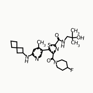 Cc1cc(NC2CC3(CCC3)C2)ncc1-c1sc(C(=O)NCC(C)(C)O)nc1C(=O)N1CCC(F)CC1